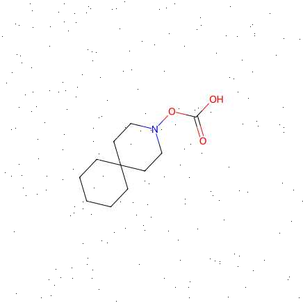 O=C(O)ON1CCC2(CCCCC2)CC1